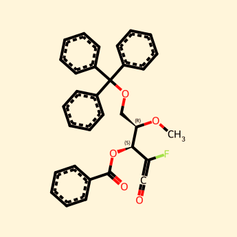 CO[C@H](COC(c1ccccc1)(c1ccccc1)c1ccccc1)[C@H](OC(=O)c1ccccc1)C(F)=C=O